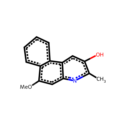 COc1cc2nc(C)c(O)cc2c2ccccc12